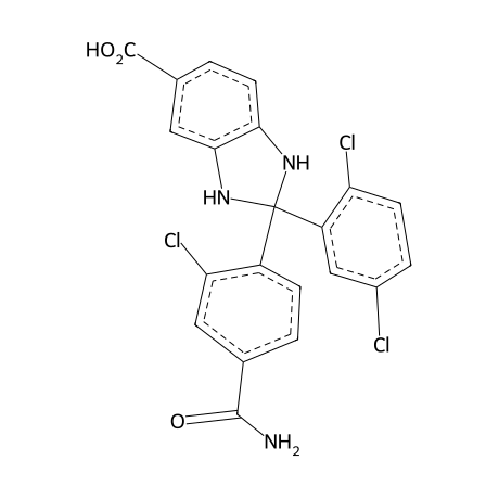 NC(=O)c1ccc(C2(c3cc(Cl)ccc3Cl)Nc3ccc(C(=O)O)cc3N2)c(Cl)c1